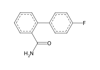 NC(=O)c1ccccc1-c1ccc(F)cc1